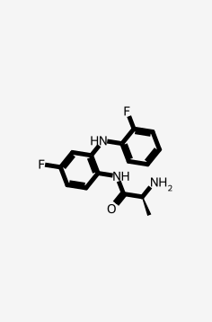 C[C@H](N)C(=O)Nc1ccc(F)cc1Nc1ccccc1F